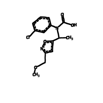 COCc1cc(C(C)N(C(=O)O)c2cccc(Cl)c2)on1